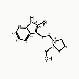 OC[C@@H]1CCCN1CCc1c(Br)[nH]c2ccccc12